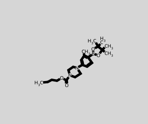 CCCCOC(=O)N1CCN(c2ccc(B3OC(C)(C)C(C)(C)O3)c(C)c2)CC1